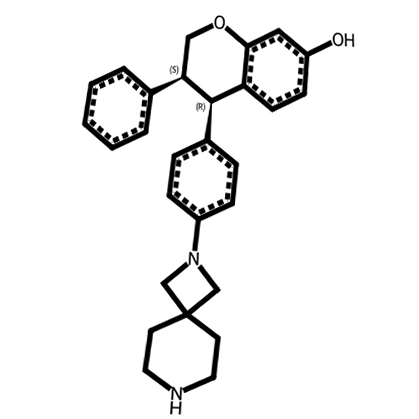 Oc1ccc2c(c1)OC[C@H](c1ccccc1)[C@@H]2c1ccc(N2CC3(CCNCC3)C2)cc1